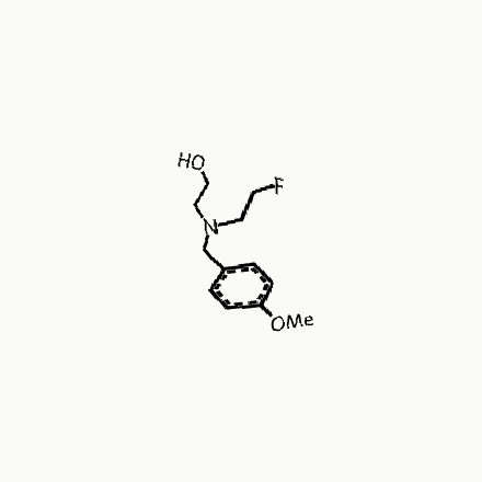 COc1ccc(CN(CCO)CCF)cc1